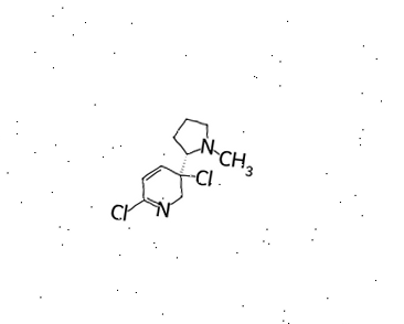 CN1CCC[C@H]1C1(Cl)C=CC(Cl)=NC1